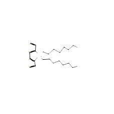 CCCCCCCC[Si]1(CCCCCCCC)c2ccsc2-c2sccc21